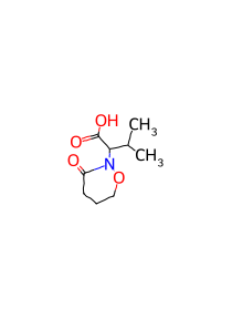 CC(C)C(C(=O)O)N1OCCCC1=O